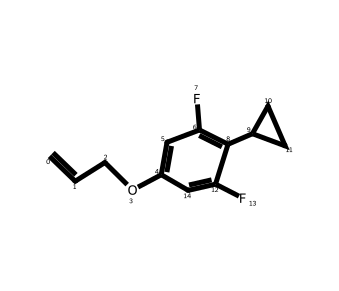 C=CCOc1cc(F)c([C]2CC2)c(F)c1